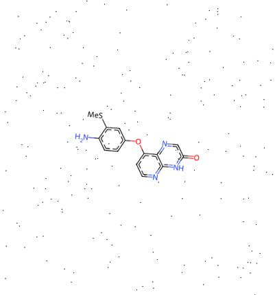 CSc1cc(Oc2ccnc3[nH]c(=O)cnc23)ccc1N